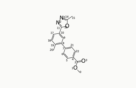 COC(=O)c1ccc(-c2cc(-c3nnc(C)o3)ccc2C)cc1